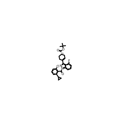 CC(C)(C)OC(=O)[C@@H]1CC=C(c2nn(C(=O)c3c(Cl)cccc3C3CC3)c3cccc(F)c23)CC1